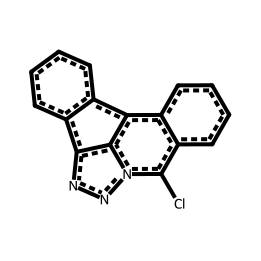 Clc1c2ccccc2c2c3ccccc3c3nnn1c32